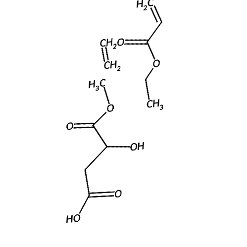 C=C.C=CC(=O)OCC.COC(=O)C(O)CC(=O)O